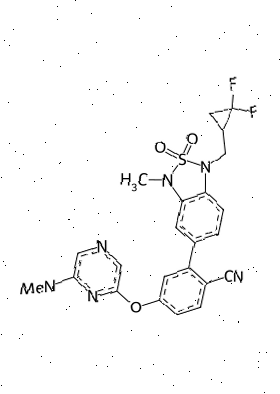 CNc1cncc(Oc2ccc(C#N)c(-c3ccc4c(c3)N(C)S(=O)(=O)N4CC3CC3(F)F)c2)n1